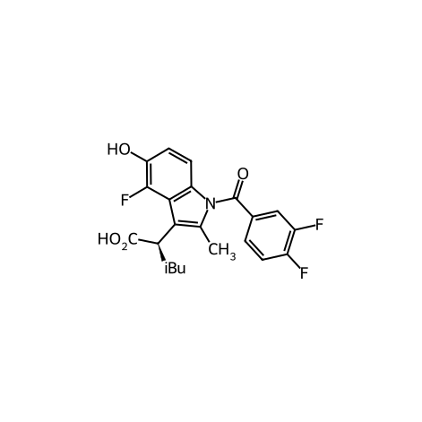 CCC(C)[C@@H](C(=O)O)c1c(C)n(C(=O)c2ccc(F)c(F)c2)c2ccc(O)c(F)c12